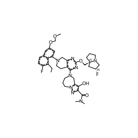 CCc1c(F)ccc2cc(OCOC)cc(N3CCc4c(nc(OC[C@@]56CCCN5C[C@H](F)C6)nc4N4CCCn5nc(C(=O)N(C)C)c(O)c5C4)C3)c12